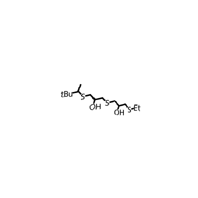 CCSCC(O)CSCC(O)CSC(C)C(C)(C)C